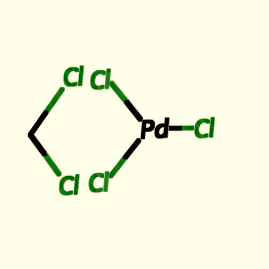 ClCCl.[Cl][Pd]([Cl])[Cl]